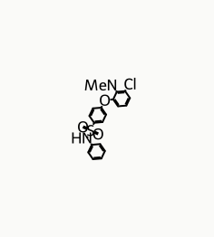 CNc1c(Cl)cccc1Oc1ccc(S(=O)(=O)Nc2ccccc2)cc1